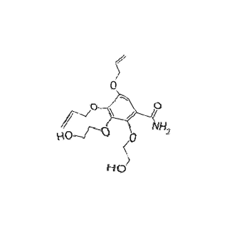 C=CCOc1cc(C(N)=O)c(OCCO)c(OCCO)c1OCC=C